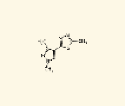 Cc1nnc(-c2cn(C)nc2C)s1